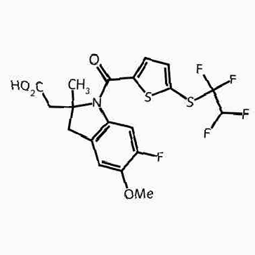 COc1cc2c(cc1F)N(C(=O)c1ccc(SC(F)(F)C(F)F)s1)C(C)(CC(=O)O)C2